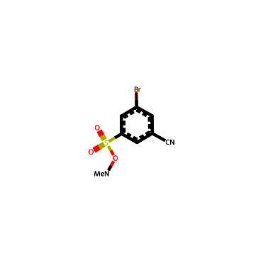 CNOS(=O)(=O)c1cc(Br)cc(C#N)c1